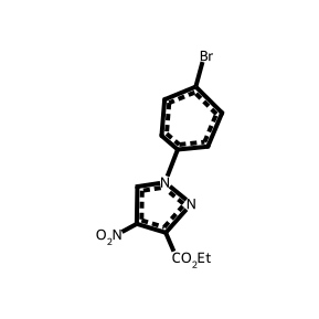 CCOC(=O)c1nn(-c2ccc(Br)cc2)cc1[N+](=O)[O-]